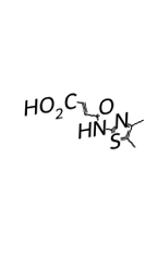 Cc1nc(NC(=O)C=CC(=O)O)sc1C